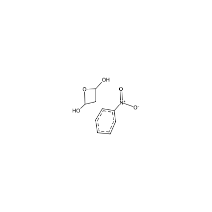 O=[N+]([O-])c1ccccc1.OC1CC(O)O1